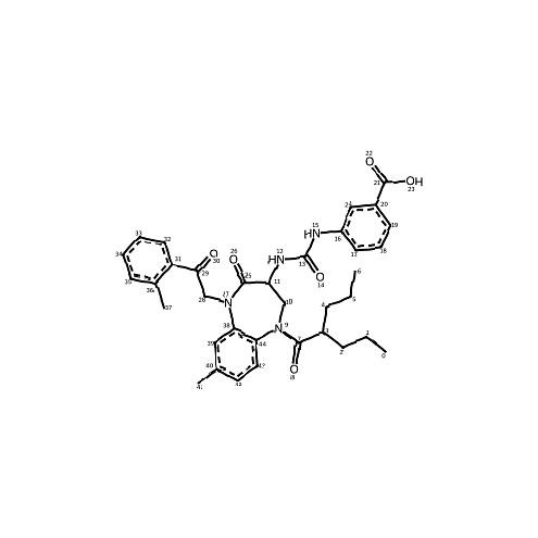 CCCC(CCC)C(=O)N1CC(NC(=O)Nc2cccc(C(=O)O)c2)C(=O)N(CC(=O)c2ccccc2C)c2cc(C)ccc21